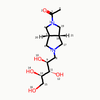 CC(=O)N1C[C@H]2CN(C[C@H](O)[C@H](O)[C@H](O)CO)C[C@H]2C1